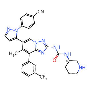 Cc1c(-c2ccnn2-c2ccc(C#N)cc2)cn2nc(NC(=O)N[C@@H]3CCCNC3)nc2c1-c1cccc(C(F)(F)F)c1